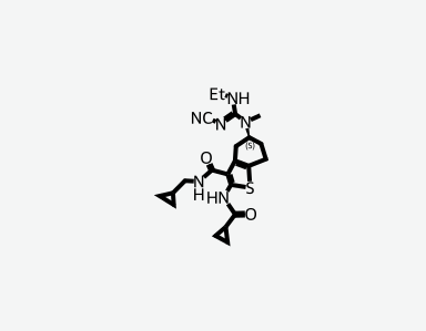 CCNC(=NC#N)N(C)[C@H]1CCc2sc(NC(=O)C3CC3)c(C(=O)NCC3CC3)c2C1